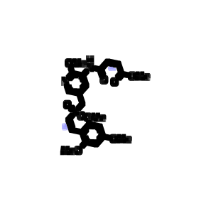 COC(=O)/C=C\C(=O)Nc1cc(CS(=O)(=O)/C=C\c2c(OC)cc(OC)cc2OC)cnc1OC